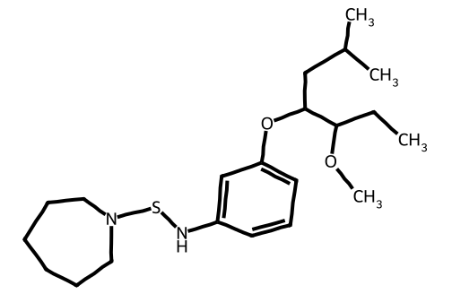 CCC(OC)C(CC(C)C)Oc1cccc(NSN2CCCCCC2)c1